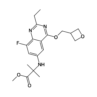 CCc1nc(OCC2COC2)c2cc(NC(C)(C)C(=O)OC)cc(F)c2n1